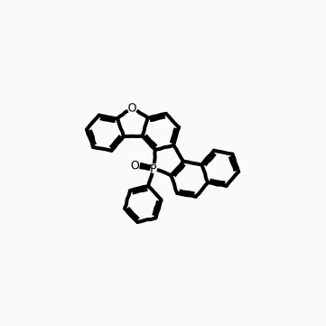 O=P1(c2ccccc2)c2ccc3ccccc3c2-c2ccc3oc4ccccc4c3c21